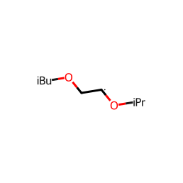 CCC(C)OC[CH]OC(C)C